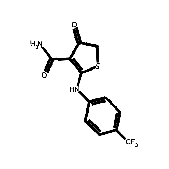 NC(=O)C1=C(Nc2ccc(C(F)(F)F)cc2)SCC1=O